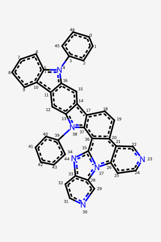 c1ccc(-n2c3ccccc3c3cc4c(cc32)c2ccc3c5cnccc5n5c6cnccc6nc5c3c2n4-c2ccccc2)cc1